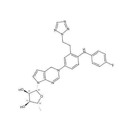 C[C@H]1O[C@@H](n2ccc3c2N=CN(c2ccc(Nc4ccc(F)cc4)c(CCn4ncnn4)c2)C3)[C@H](O)[C@@H]1O